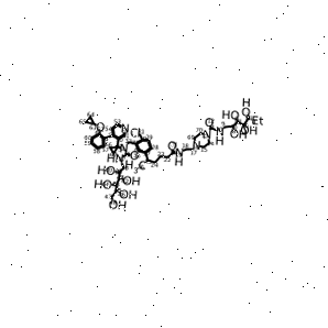 CC[C@@H](O)[C@@H](O)[C@H](O)[C@@H](O)CNC(=O)N1CCN(CCNC(=O)CCCC(C)c2ccc(Cl)c(CN(C(=O)NC[C@H](O)[C@@H](O)[C@H](O)[C@H](O)CO)C3(c4cnccc4-c4ccccc4OC4CC4)CC3)c2)CC1